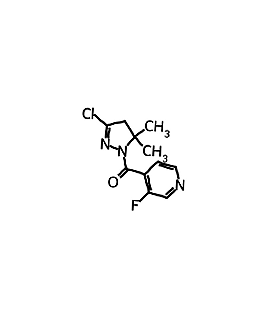 CC1(C)CC(Cl)=NN1C(=O)c1ccncc1F